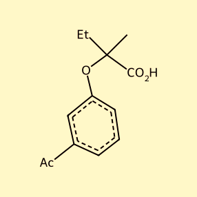 CCC(C)(Oc1cccc(C(C)=O)c1)C(=O)O